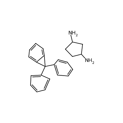 NC1CCC(N)C1.c1ccc(C2(c3ccccc3)c3ccccc32)cc1